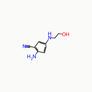 N#Cc1cc(NCCO)ccc1N